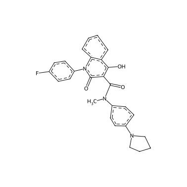 CN(C(=O)c1c(O)c2ccccc2n(-c2ccc(F)cc2)c1=O)c1ccc(N2CCCC2)cc1